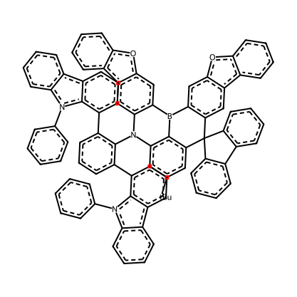 CC(C)(C)c1cc2c3c(c1)C1(c4cc5c(cc4B3c3cc4oc6ccccc6c4cc3N2c2c(-c3cccc4c6ccccc6n(-c6ccccc6)c34)cccc2-c2cccc3c4ccccc4n(-c4ccccc4)c23)oc2ccccc25)c2ccccc2-c2ccccc21